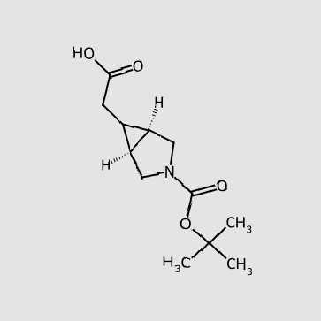 CC(C)(C)OC(=O)N1C[C@@H]2C(CC(=O)O)[C@@H]2C1